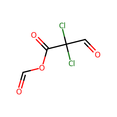 O=COC(=O)C(Cl)(Cl)C=O